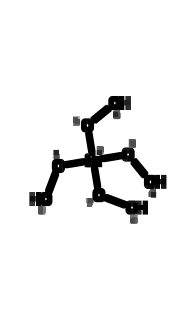 O[O][Sn]([O]O)([O]O)[O]O